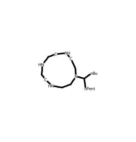 CCCCCC(CCCC)N1CCNCCNCCNCC1